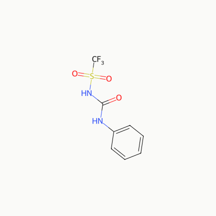 O=C(Nc1ccccc1)NS(=O)(=O)C(F)(F)F